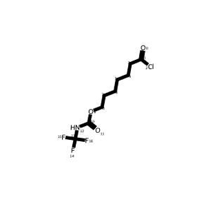 O=C(Cl)CCCCCCOC(=O)NC(F)(F)F